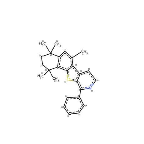 Cc1cc2c(c3sc4c(-c5ccccc5)nccc4c13)C(C)(C)CCC2(C)C